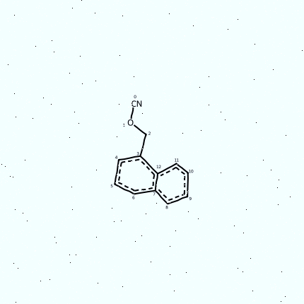 N#COCc1cccc2ccccc12